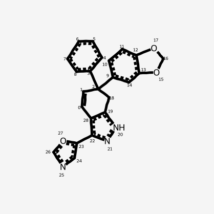 C1=CC(c2ccccc2)(c2ccc3c(c2)OCO3)Cc2[nH]nc(-c3cnco3)c21